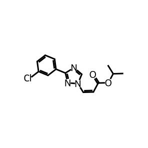 CC(C)OC(=O)/C=C\n1cnc(-c2cccc(Cl)c2)n1